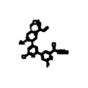 C=CC(=O)N1C[C@@H](c2cc(Cl)nc(-c3cc(F)nc(C(=O)NC)c3)c2)N(C(C)=O)C[C@@H]1CC#N